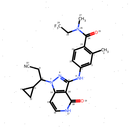 Cc1cc(Nc2nn(C(CC#N)C3CC3)c3cc[nH]c(=O)c23)ccc1C(=O)N(C)CC(F)(F)F